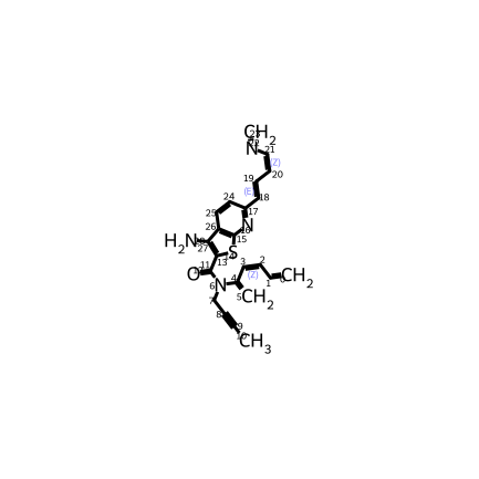 C=C/C=C\C(=C)N(CC#CC)C(=O)c1sc2nc(/C=C/C=C\N=C)ccc2c1N